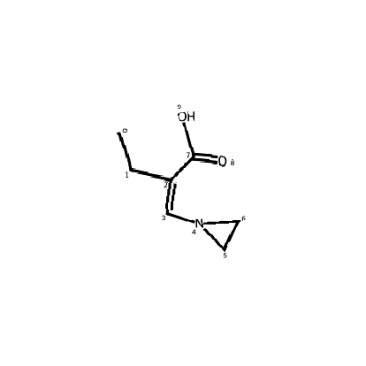 CCC(=CN1CC1)C(=O)O